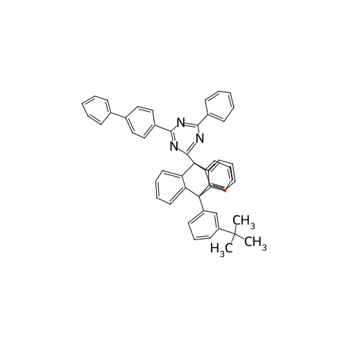 CC(C)(C)c1cccc(C23c4ccccc4C(c4nc(-c5ccccc5)nc(-c5ccc(-c6ccccc6)cc5)n4)(c4ccccc42)c2ccccc23)c1